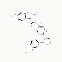 CC(=O)N1Cc2cc([S+](C)[O-])ccc2C1C(=O)Nc1cnc(N2CCCC2c2cccc(C)c2)nc1